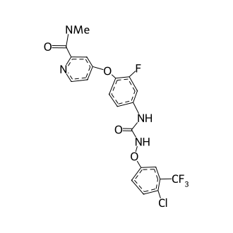 CNC(=O)c1cc(Oc2ccc(NC(=O)NOc3ccc(Cl)c(C(F)(F)F)c3)cc2F)ccn1